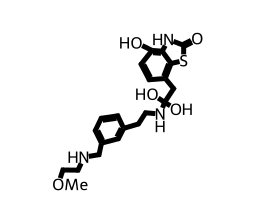 COCCNCc1cccc(CCNC(O)(O)Cc2ccc(O)c3[nH]c(=O)sc23)c1